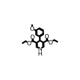 CCOC(=O)C1=CNC=C(C(=O)OCC)C1c1cccc(OC)c1